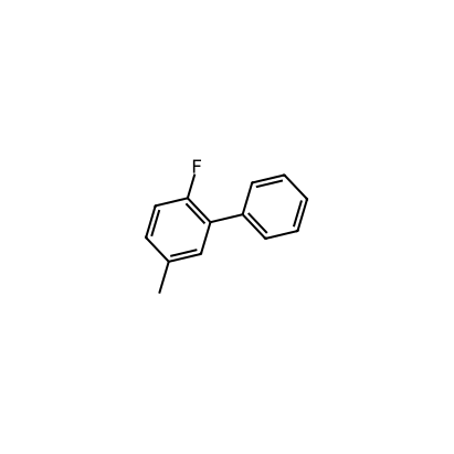 Cc1ccc(F)c(-c2ccccc2)c1